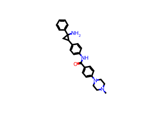 CN1CCN(c2ccc(C(=O)Nc3ccc(C4CC4(N)c4ccccc4)cc3)cc2)CC1